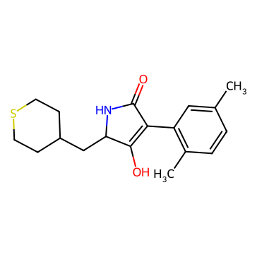 Cc1ccc(C)c(C2=C(O)C(CC3CCSCC3)NC2=O)c1